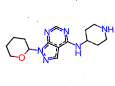 c1nc(NC2CCNCC2)c2cnn(C3CCCCO3)c2n1